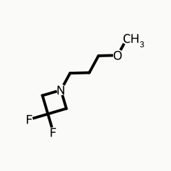 COCCCN1CC(F)(F)C1